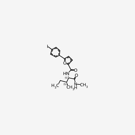 CC[C@H](C)[C@H](NC(=O)c1ccc(-c2ccc(I)cc2)o1)C(=O)NC